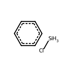 [SiH3]Cl.c1ccccc1